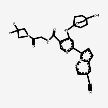 N#Cc1cnn2c(-c3cc(NC45CCC(O)(CC4)CC5)c(C(=O)NCC(=O)N4CC(F)(F)C4)cn3)ccc2c1